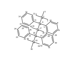 C[Si](C)(C)[Si](c1ccccc1)(c1ccccc1)[Si](C)(C)[Si](c1ccccc1)(c1ccccc1)[Si](C)(C)C